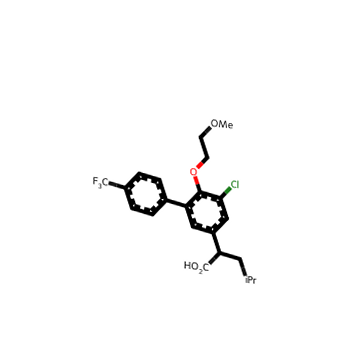 COCCOc1c(Cl)cc(C(CC(C)C)C(=O)O)cc1-c1ccc(C(F)(F)F)cc1